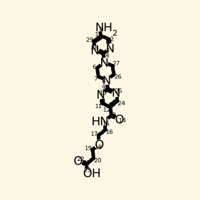 Nc1cnc(N2CCN(c3ncc(C(=O)NCCOCCC(=O)O)cn3)CC2)nc1